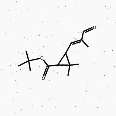 C/C(C=O)=C\C1C(C(=O)OC(C)(C)C)C1(C)C